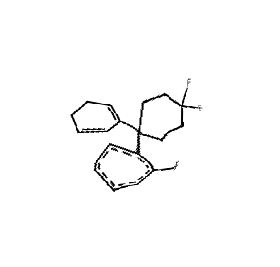 Fc1ccccc1C1(C2=CCCC=C2)CCC(F)(F)CC1